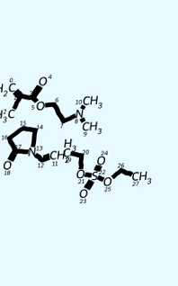 C=C(C)C(=O)OCCN(C)C.C=CN1CCCC1=O.CCOS(=O)(=O)OCC